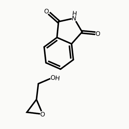 O=C1NC(=O)c2ccccc21.OCC1CO1